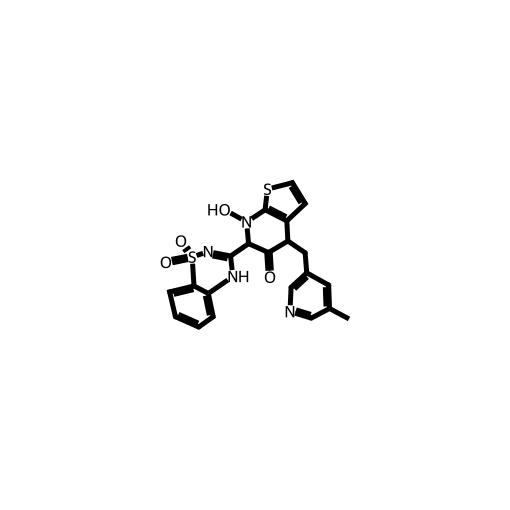 Cc1cncc(CC2C(=O)C(C3=NS(=O)(=O)c4ccccc4N3)N(O)c3sccc32)c1